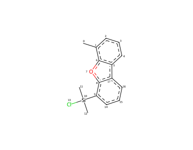 Cc1cccc2c1oc1c([Si](C)(C)Cl)cccc12